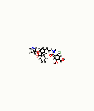 COc1cc(C(=O)N(C)CCCc2cccc(C3(C(=O)OC4CN5CCC4CC5)CCCCC3)c2)c(Cl)cc1C=O